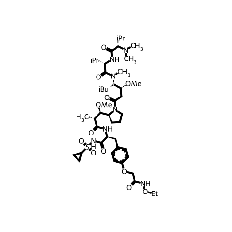 CCONC(=O)COc1ccc(C[C@H](NC(=O)[C@H](C)[C@@H](OC)[C@@H]2CCCN2C(=O)C[C@@H](OC)[C@H]([C@@H](C)CC)N(C)C(=O)[C@@H](NC(=O)[C@H](C(C)C)N(C)C)C(C)C)C(=O)NS(=O)(=O)C2CC2)cc1